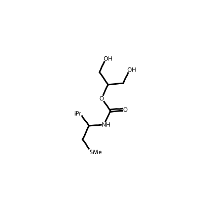 CSCC(NC(=O)OC(CO)CO)C(C)C